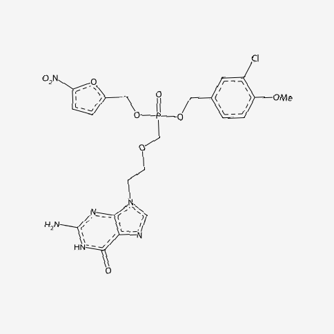 COc1ccc(COP(=O)(COCCn2cnc3c(=O)[nH]c(N)nc32)OCc2ccc([N+](=O)[O-])o2)cc1Cl